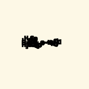 CC(CC(C)(C)C)C(C)C(=O)OCN1C(=O)CCc2ccc(OCCCCN3CCN(c4cccc(Cl)c4Cl)CC3)cc21